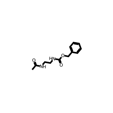 CC(=O)NCCNC(=O)OCc1ccccc1